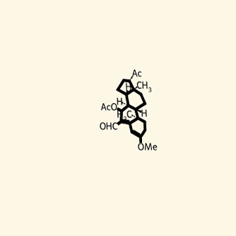 COC1=CC2=C(C=O)C(OC(C)=O)[C@H]3[C@@H]4CC[C@H](C(C)=O)[C@@]4(C)CC[C@@H]3[C@@]2(C)CC1